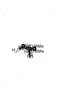 C=CC(=O)Nc1cccc(C)c1Nc1cc2c(NCCS(=O)(=O)CC)nc(-c3c(Cl)c(OC)cc(OC)c3Cl)cc2cn1